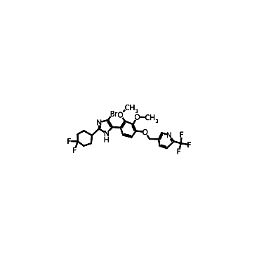 COc1c(OCc2ccc(C(F)(F)F)nc2)ccc(-c2[nH]c(C3CCC(F)(F)CC3)nc2Br)c1OC